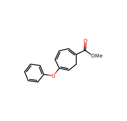 COC(=O)C1=CC=CC(Oc2ccccc2)=CC1